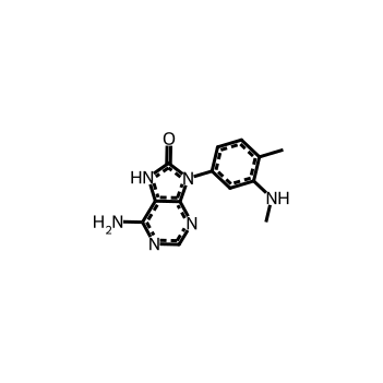 CNc1cc(-n2c(=O)[nH]c3c(N)ncnc32)ccc1C